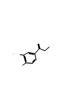 COc1cc(C(=O)CC#N)ccc1O